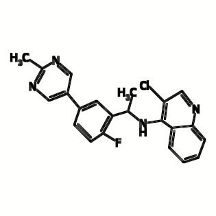 Cc1ncc(-c2ccc(F)c(C(C)Nc3c(Cl)cnc4ccccc34)c2)cn1